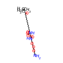 CC(C)(C)CCC(=O)CCCCCCCCCCCCCCC(=O)N[C@@H](CCC(=O)NCCCOCCOCCOCCCN)C(=O)O